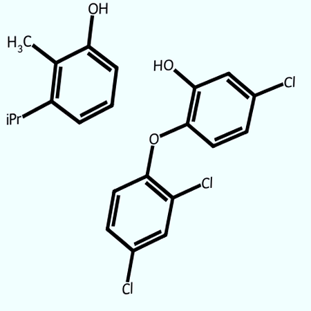 Cc1c(O)cccc1C(C)C.Oc1cc(Cl)ccc1Oc1ccc(Cl)cc1Cl